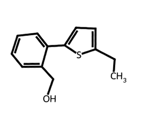 CCc1ccc(-c2ccccc2CO)s1